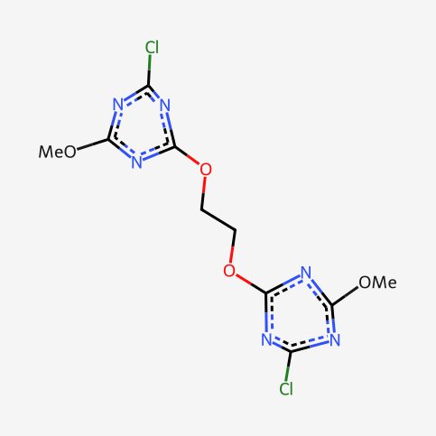 COc1nc(Cl)nc(OCCOc2nc(Cl)nc(OC)n2)n1